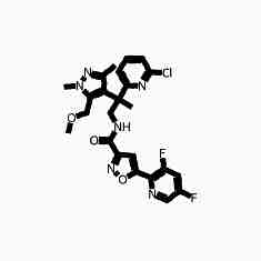 COCc1c(C(C)(CNC(=O)c2cc(-c3ncc(F)cc3F)on2)c2cccc(Cl)n2)c(C)nn1C